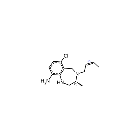 C/C=C\CN1Cc2c(Cl)ccc(N)c2NC[C@@H]1C